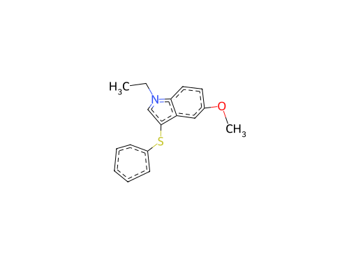 CCn1cc(Sc2ccccc2)c2cc(OC)ccc21